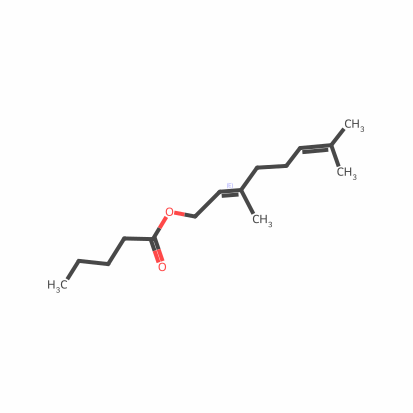 CCCCC(=O)OC/C=C(\C)CCC=C(C)C